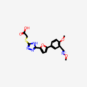 CO/N=C/c1cc(-c2ccc(-c3nnc(SCC(=O)O)[nH]3)o2)ccc1OC